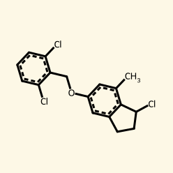 Cc1cc(OCc2c(Cl)cccc2Cl)cc2c1C(Cl)CC2